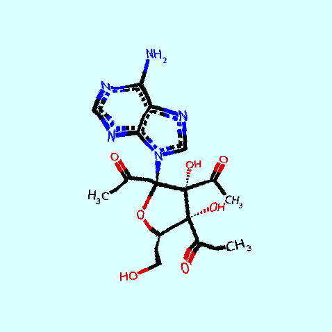 CC(=O)[C@@]1(O)[C@@](O)(C(C)=O)[C@@H](CO)O[C@@]1(C(C)=O)n1cnc2c(N)ncnc21